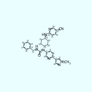 Cn1cc(-c2ccc(N(C(=O)NCc3ccccc3)[C@H]3CC[C@H](Nc4ccc(C#N)cn4)CC3)cn2)cn1